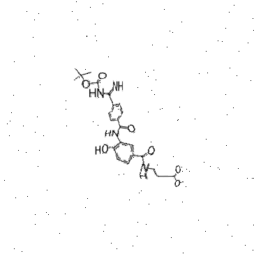 COC(=O)CCNC(=O)c1ccc(O)c(NC(=O)c2ccc(C(=N)NC(=O)OC(C)(C)C)cc2)c1